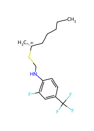 CCCCC[C@@H](C)SCNc1ccc(C(F)(F)F)cc1F